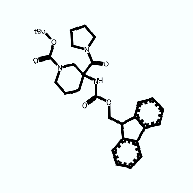 CC(C)(C)OC(=O)N1CCCC(NC(=O)OCC2c3ccccc3-c3ccccc32)(C(=O)N2CCCC2)C1